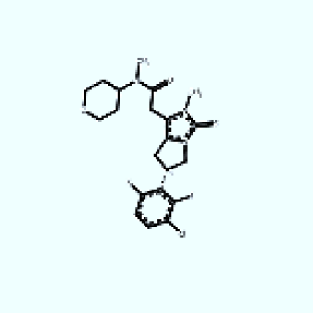 CN(C(=O)Cc1c2n(c(=S)n1C)C[C@H](c1c(F)ccc(Cl)c1F)C2)C1CCOCC1